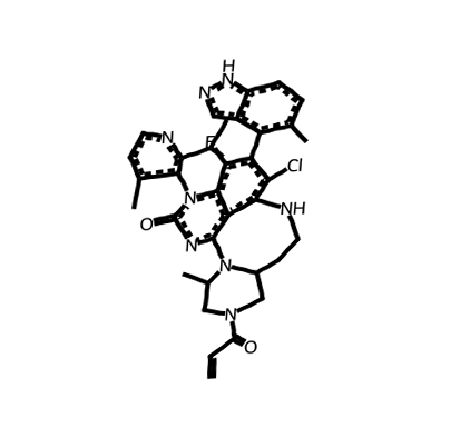 C=CC(=O)N1CC(C)N2c3nc(=O)n(-c4c(C)ccnc4C(C)C)c4c(F)c(-c5c(C)ccc6[nH]ncc56)c(Cl)c(c34)NCCC2C1